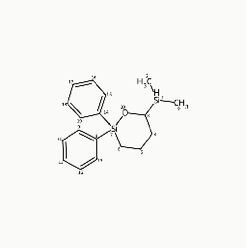 C[SiH](C)C1CCC[Si](c2ccccc2)(c2ccccc2)O1